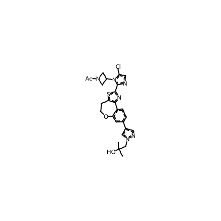 CC(=O)N1CC(n2c(Cl)cnc2-c2nc3c(s2)CCOc2cc(-c4cnn(CC(C)(C)O)c4)ccc2-3)C1